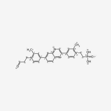 Cc1cc(-c2ccc3nc(-c4cc[n+](CCP(=O)(O)O)c(C)c4)cnc3c2)cc[n+]1CCC=O